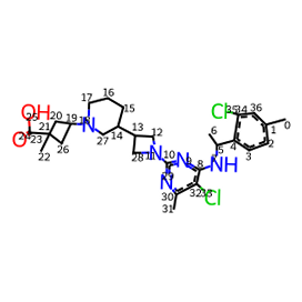 Cc1ccc(C(C)Nc2nc(N3CC(C4CCCN(C5CC(C)(C(=O)O)C5)C4)C3)nc(C)c2Cl)c(Cl)c1